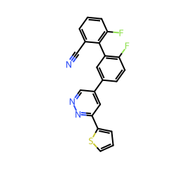 N#Cc1cccc(F)c1-c1cc(-c2cnnc(-c3cccs3)c2)ccc1F